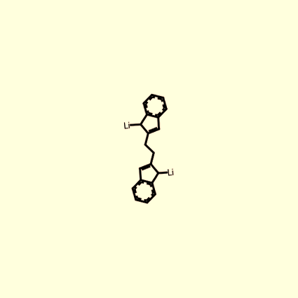 [Li][CH]1C(CCC2=Cc3ccccc3[CH]2[Li])=Cc2ccccc21